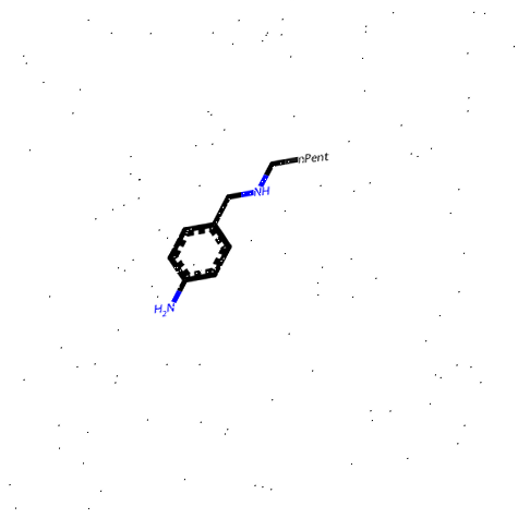 CCCCCCNCc1ccc(N)cc1